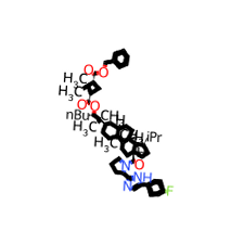 CCCC[C@H](OC(=O)[C@H]1C[C@@H](C(=O)OCc2ccccc2)C1(C)C)C(C)(C)[C@@H]1CC[C@]2(C)[C@H](CC[C@@H]3[C@H]4[C@H](C(C)C)CC[C@]4(C(=O)N4CCCC4c4ncc(-c5ccc(F)cc5)[nH]4)CC[C@]32C)C1